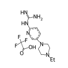 CCN1CCN(c2ccc(NC(=N)N)nc2)CC1.O=C(O)C(F)(F)F